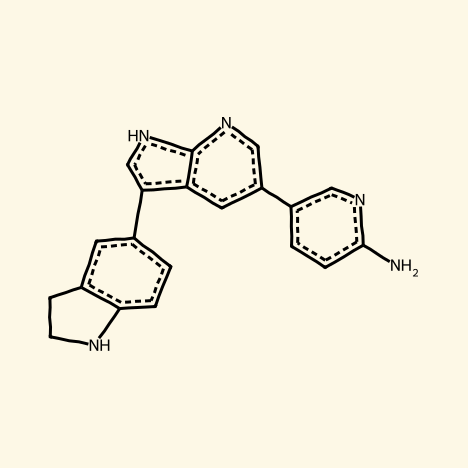 Nc1ccc(-c2cnc3[nH]cc(-c4ccc5c(c4)CCN5)c3c2)cn1